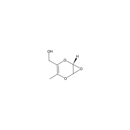 CC1=C(CO)O[C@@H]2OC2O1